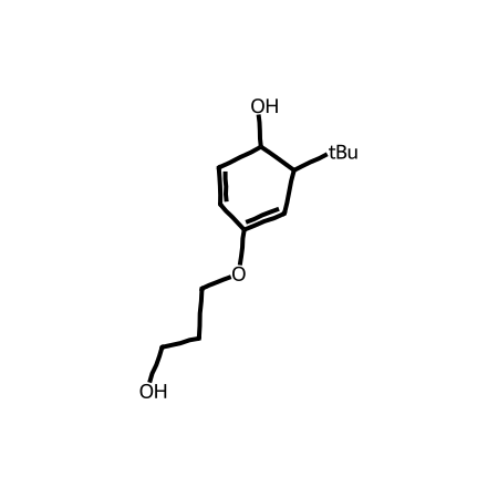 CC(C)(C)C1C=C(OCCCO)C=CC1O